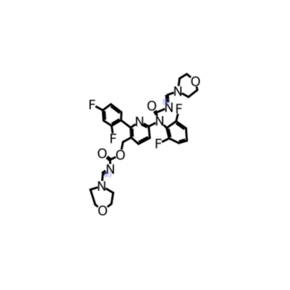 O=C(/N=C/N1CCOCC1)OCc1ccc(N(C(=O)/N=C/N2CCOCC2)c2c(F)cccc2F)nc1-c1ccc(F)cc1F